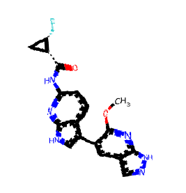 COc1nc2[nH]ncc2cc1-c1c[nH]c2nc(NC(=O)[C@@H]3C[C@@H]3F)ccc12